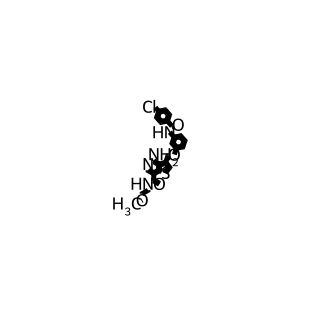 COCCNC(=O)c1cnc(N)c2c(COc3cccc(NC(=O)c4ccc(Cl)cc4)c3)csc12